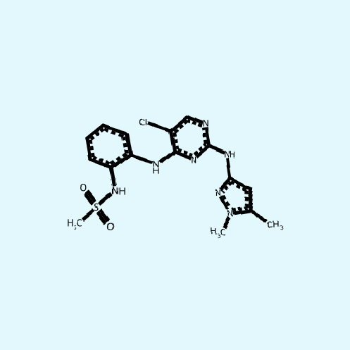 Cc1cc(Nc2ncc(Cl)c(Nc3ccccc3NS(C)(=O)=O)n2)nn1C